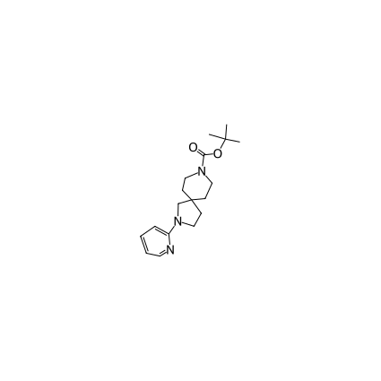 CC(C)(C)OC(=O)N1CCC2(CC1)CCN(c1ccccn1)C2